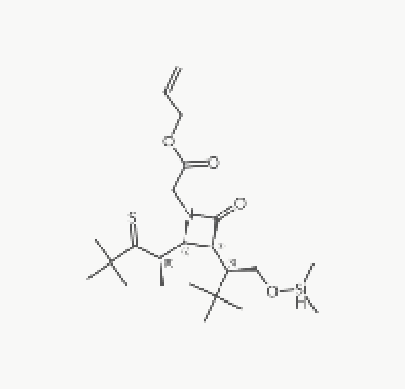 C=CCOC(=O)CN1C(=O)[C@@H]([C@@H](CO[SiH](C)C)C(C)(C)C)[C@H]1[C@@H](C)C(=S)C(C)(C)C